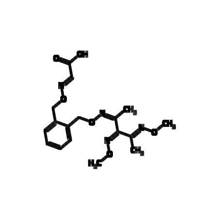 CON=C(C)C(=NOC)C(C)=NOCc1ccccc1CON=CC(=O)O